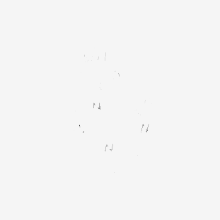 CC(C(=O)n1cnc2c1c(=O)ncn2C)S(=O)(=O)O